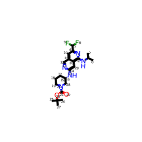 CC(C)Nc1nc(C(F)F)cc2cnc(N[C@H]3CCCN(C(=O)OC(C)(C)C)C3)cc12